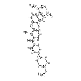 CCN1CCN(c2ccc(Nc3ncnc(Oc4ccc5c(cc(C)n5C(C)C)c4F)c3F)nc2)CC1